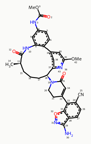 COC(=O)Nc1ccc2c(c1)NC(=O)[C@H](C)CCC[C@H](N1CCC(c3c(C#N)ccc4c(N)noc34)=CC1=O)c1cc-2cc(OC)n1